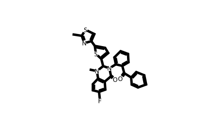 Cc1nc(-c2ccc(C3N(C)c4ccc(F)cc4C(=O)N3c3ccccc3C(=O)c3ccccc3)s2)cs1